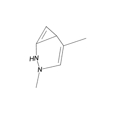 CC1=CN(C)NC2=CC12